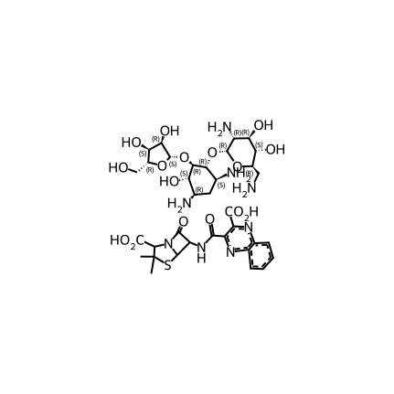 CC1(C)SC2C(NC(=O)c3nc4ccccc4nc3C(=O)O)C(=O)N2C1C(=O)O.NC[C@H]1O[C@H](O[C@H]2[C@H](O[C@@H]3O[C@H](CO)[C@@H](O)[C@H]3O)[C@@H](O)[C@H](N)C[C@@H]2N)[C@H](N)[C@@H](O)[C@@H]1O